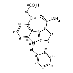 NC(=O)C1CCc2c1c1c(OCC(=O)O)cccc1n2Cc1ccccn1